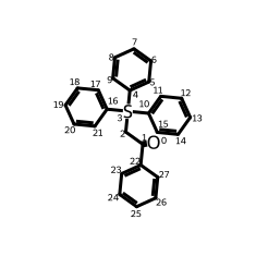 O=C(CS(c1ccccc1)(c1ccccc1)c1ccccc1)c1ccccc1